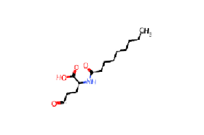 CCCCCCCCC(=O)N[C@@H](CC[C]=O)C(=O)O